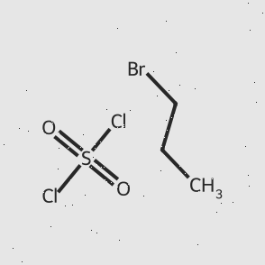 CCCBr.O=S(=O)(Cl)Cl